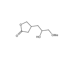 COCC(O)CC1COC(=O)C1